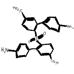 Nc1ccc(-c2cc(C(=O)O)ccc2S(=O)(=O)c2ccc(C(=O)O)cc2-c2ccc(N)cc2)cc1